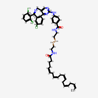 CC/C=C\C/C=C\C/C=C\C/C=C\C/C=C\CCCC(=O)NCCSSCCNC(=O)c1ccc(Nc2ncc3c(n2)-c2ccc(Cl)cc2C(c2c(F)cccc2F)=NC3)cc1